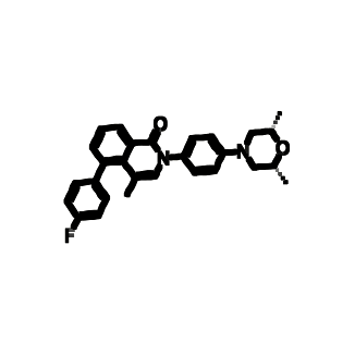 Cc1cn(-c2ccc(N3C[C@@H](C)O[C@@H](C)C3)cc2)c(=O)c2cccc(-c3ccc(F)cc3)c12